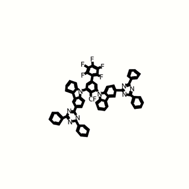 Fc1c(F)c(F)c(-c2cc(-n3c4ccccc4c4cc(-c5nc(-c6ccccc6)nc(-c6ccccc6)n5)ccc43)c(C(F)(F)F)c(-n3c4ccccc4c4cc(-c5nc(-c6ccccc6)nc(-c6ccccc6)n5)ccc43)c2)c(F)c1F